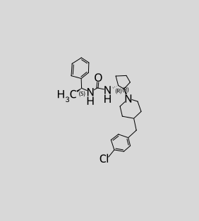 C[C@H](NC(=O)N[C@@H]1CCC[C@H]1N1CCC(Cc2ccc(Cl)cc2)CC1)c1ccccc1